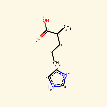 CCCC(C)C(=O)O.c1c[nH]cn1